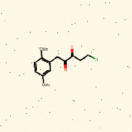 COc1ccc(OC)c(CC(=O)C(=O)CCCl)c1